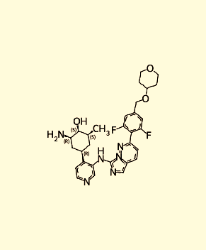 C[C@H]1C[C@@H](c2ccncc2Nc2ncc3ccc(-c4c(F)cc(COC5CCOCC5)cc4F)nn23)C[C@@H](N)[C@H]1O